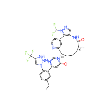 CCc1ccc(N2C=C(C(F)(F)F)NN2)c(-c2cc(=O)n([C@H]3CCC[C@@H](C)C(=O)Nc4cnn(C(F)F)c4-c4ccnc3c4)cn2)c1